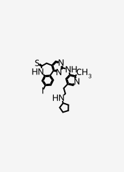 Cc1ncc(CCNC2CCCC2)cc1Nc1ncc2c(n1)-c1ccc(I)cc1NC(=S)C2